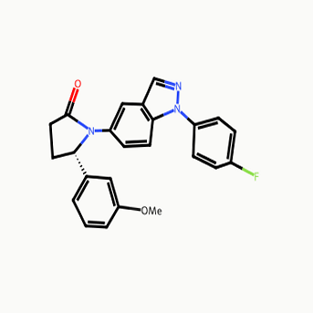 COc1cccc([C@@H]2CCC(=O)N2c2ccc3c(cnn3-c3ccc(F)cc3)c2)c1